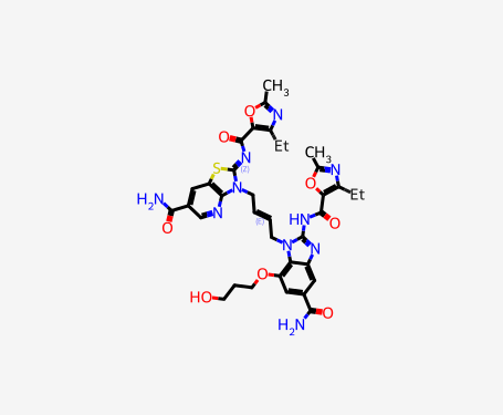 CCc1nc(C)oc1C(=O)/N=c1\sc2cc(C(N)=O)cnc2n1C/C=C/Cn1c(NC(=O)c2oc(C)nc2CC)nc2cc(C(N)=O)cc(OCCCO)c21